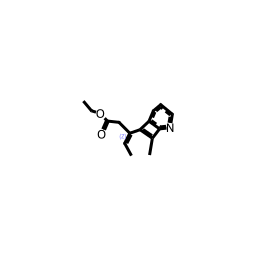 C/C=C(/CC(=O)OCC)C1=C(C)c2ncccc21